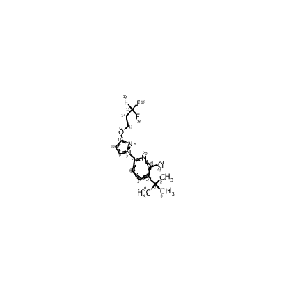 CC(C)(C)c1ccc(-n2ccc(OCCC(F)(F)F)n2)nc1Cl